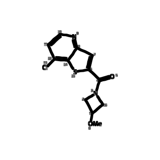 COC1CN(C(=O)c2cc3nccc(Cl)c3s2)C1